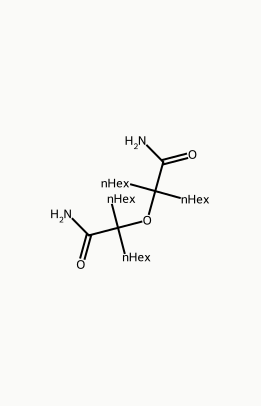 CCCCCCC(CCCCCC)(OC(CCCCCC)(CCCCCC)C(N)=O)C(N)=O